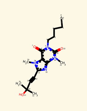 CC(=O)CCCCn1c(=O)c2c(nc(C#CC(C)(C)O)n2C)n(C)c1=O